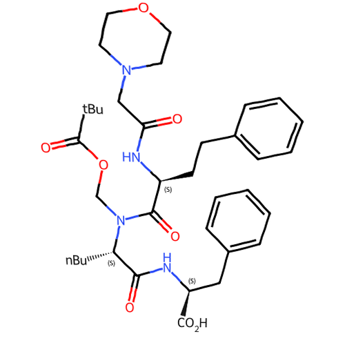 CCCC[C@@H](C(=O)N[C@@H](Cc1ccccc1)C(=O)O)N(COC(=O)C(C)(C)C)C(=O)[C@H](CCc1ccccc1)NC(=O)CN1CCOCC1